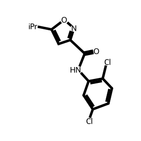 CC(C)c1cc(C(=O)Nc2cc(Cl)ccc2Cl)no1